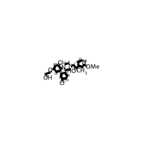 COc1cc([C@](C)(O)CN2CCN(c3ccc(OCCO)cc3Cl)[C@H](c3ccc(Cl)cc3)C2)ccn1